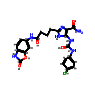 NC(=O)c1nc(CCCC(=O)Nc2ccc3[nH]c(=O)oc3c2)[nH]c1NC(=O)Nc1ccc(Cl)cc1